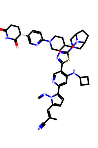 C=Nn1c(/C=C(\C)C#N)ccc1-c1cc(NC2CCC2)c(-c2nnc(N3CC4CCC(C3)N4CC3CCN(c4ccc([C@H]5CCC(=O)NC5=O)cn4)CC3)s2)cn1